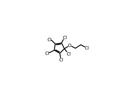 ClCCOC1(Cl)C(Cl)=C(Cl)C(Cl)=C1Cl